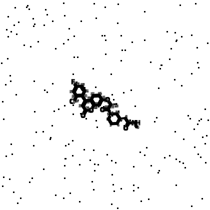 CNC(=O)C[C@H]1CCCN(C(=O)[C@@H](C)Oc2ccc3c(-c4ccc(F)cc4Cl)cc(=O)oc3c2)C1